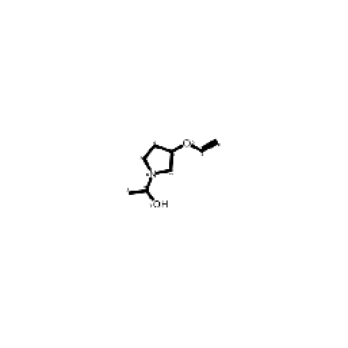 C=COC1CCN(C(C)O)C1